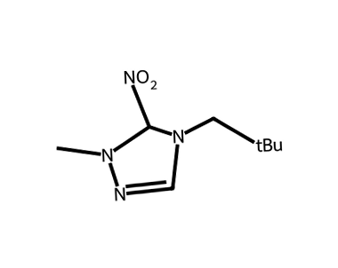 CN1N=CN(CC(C)(C)C)C1[N+](=O)[O-]